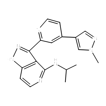 CC(C)Nc1nccc2[nH]nc(-c3cc(-c4cnn(C)c4)ccn3)c12